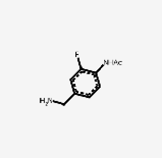 CC(=O)Nc1ccc(CN)cc1F